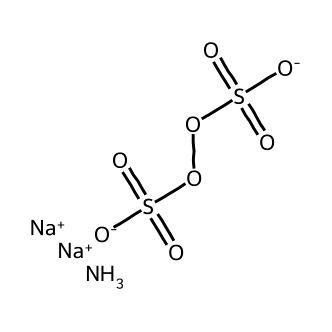 N.O=S(=O)([O-])OOS(=O)(=O)[O-].[Na+].[Na+]